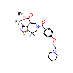 CC(C)OC(=O)C1=CN(C(=O)c2ccc(OCCN3CCCCC3)cc2)CC(C)(C)c2snc(C(F)(F)F)c21